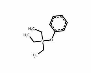 CC[Si](CC)(CC)Oc1ccccc1